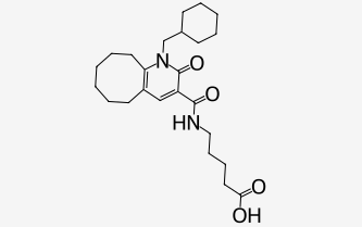 O=C(O)CCCCNC(=O)c1cc2c(n(CC3CCCCC3)c1=O)CCCCCC2